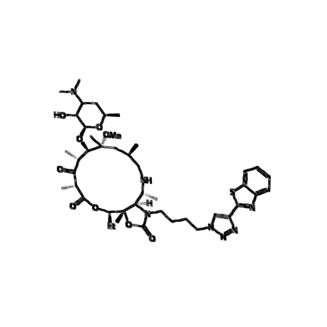 CC[C@H]1OC(=O)[C@H](C)C(=O)[C@H](C)[C@@H](O[C@@H]2O[C@H](C)CC(N(C)C)C2O)[C@](C)(OC)C[C@@H](C)CN[C@H](C)[C@H]2N(CCCCn3cc(-c4nc5ccccc5s4)nn3)C(=O)O[C@]12C